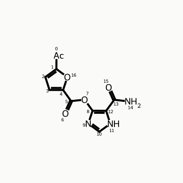 CC(=O)c1ccc(C(=O)Oc2nc[nH]c2C(N)=O)o1